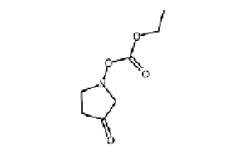 CCOC(=O)ON1CCC(=O)C1